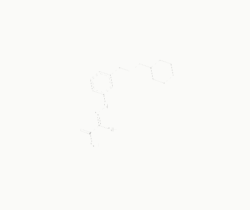 NC(=O)C(N)=NNc1cccc(COCC2CCCCC2)c1